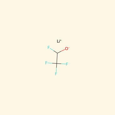 [Li+].[O-]C(F)C(F)(F)F